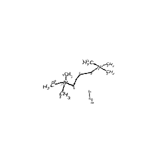 C[N+](C)(C)CCC[N+](C)(C)C.[I-].[I-]